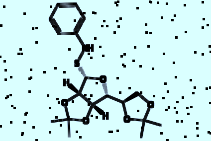 CC1(C)O[C@H]2[C@@H]([C@H]3COC(C)(C)O3)O[C@@H](SNc3ccccc3)[C@H]2O1